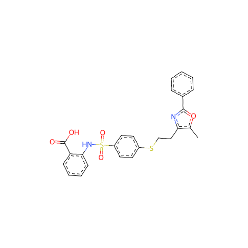 Cc1oc(-c2ccccc2)nc1CCSc1ccc(S(=O)(=O)Nc2ccccc2C(=O)O)cc1